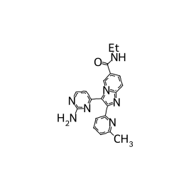 CCNC(=O)c1ccc2nc(-c3cccc(C)n3)c(-c3ccnc(N)n3)n2c1